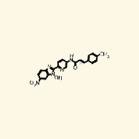 Cc1ccc(/C=C/C(=O)Nc2ccc(-c3nc4ccc([N+](=O)[O-])cc4n3O)nc2)cc1